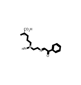 CCCN(CCC[C@H](C)C(=O)O)CCN=CC(=O)c1ccccc1